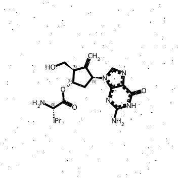 C=C1[C@H](CO)[C@@H](OC(=O)[C@@H](N)C(C)C)C[C@@H]1n1cnc2c(=O)[nH]c(N)nc21